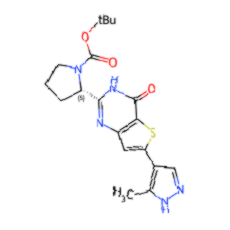 Cc1[nH]ncc1-c1cc2nc([C@@H]3CCCN3C(=O)OC(C)(C)C)[nH]c(=O)c2s1